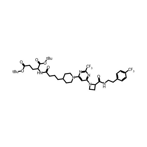 CC(C)(C)OC(=O)CCC(NC(=O)CCCC1CCN(c2cc(N3CCC3C(=O)NCCc3ccc(C(F)(F)F)cc3)nc(C(F)(F)F)n2)CC1)C(=O)OC(C)(C)C